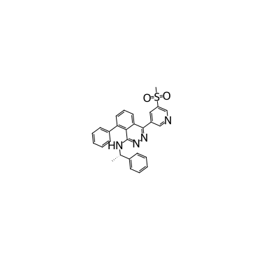 C[C@H](Nc1nnc(-c2cncc(S(C)(=O)=O)c2)c2cccc(-c3ccccc3)c12)c1ccccc1